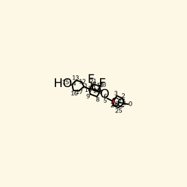 CC12CCC(COC34CCC(C5CCC(O)CC5)(CC3)C(F)=C4F)(CC1)CC2